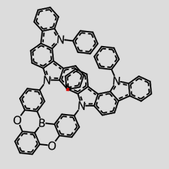 c1ccc(-n2c3ccccc3c3ccc4c(c5ccccc5n4-c4ccc5c(c4)B4c6cc(-n7c8ccccc8c8c7ccc7c9ccccc9n(-c9ccccc9)c78)ccc6Oc6cccc(c64)O5)c32)cc1